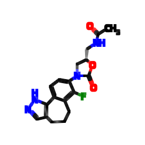 CC(=O)NC[C@H]1CN(c2ccc3c(c2F)CCCc2cn[nH]c2-3)C(=O)O1